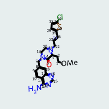 COCCC1C(=O)N(Cc2ccc3c(N)ncnc3c2)CCN1C/C=C/c1ccc(Cl)s1